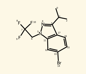 CC(C)c1nn(CC(F)(F)F)c2cc(Br)ccc12